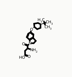 CC(C)(C)[C@H]1CC[C@H](Oc2ccc3c(c2)CCN3C(=O)C(N)CC(=O)O)CC1